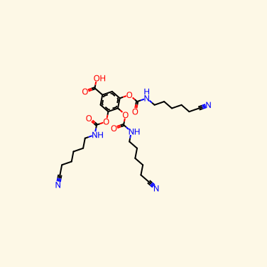 N#CCCCCCNC(=O)Oc1cc(C(=O)O)cc(OC(=O)NCCCCCC#N)c1OC(=O)NCCCCCC#N